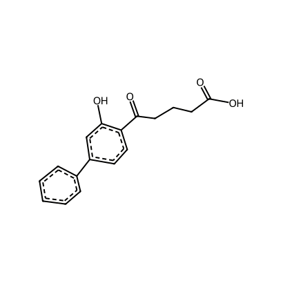 O=C(O)CCCC(=O)c1ccc(-c2ccccc2)cc1O